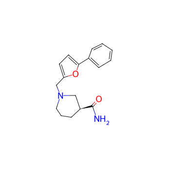 NC(=O)[C@H]1CCCN(Cc2ccc(-c3ccccc3)o2)C1